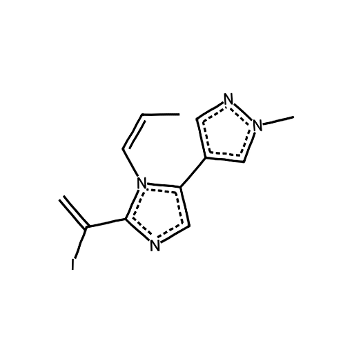 C=C(I)c1ncc(-c2cnn(C)c2)n1/C=C\C